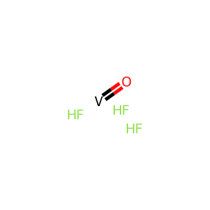 F.F.F.[O]=[V]